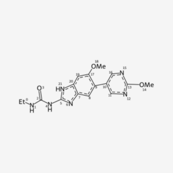 CCNC(=O)Nc1nc2cc(-c3cnc(OC)nc3)c(OC)cc2[nH]1